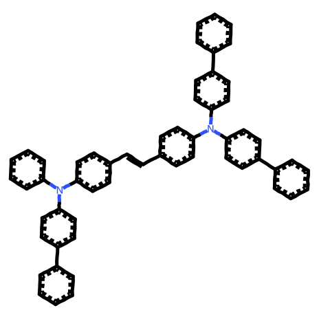 C(=C\c1ccc(N(c2ccc(-c3ccccc3)cc2)c2ccc(-c3ccccc3)cc2)cc1)/c1ccc(N(c2ccccc2)c2ccc(-c3ccccc3)cc2)cc1